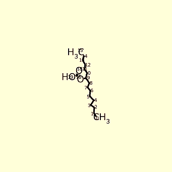 CCCCCCCCCC(CCCCCC)OC(=O)O